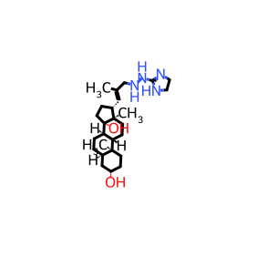 C/C(=C\[C@H]1CC[C@]2(O)[C@@H]3CC[C@@H]4C[C@@H](O)CC[C@]4(C)[C@H]3CC[C@]12C)CNNC1=NCCN1